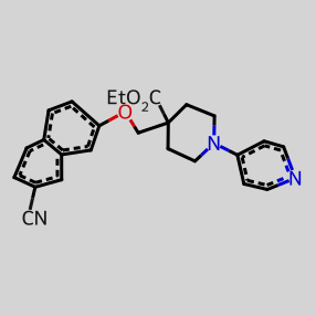 CCOC(=O)C1(COc2ccc3ccc(C#N)cc3c2)CCN(c2ccncc2)CC1